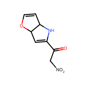 O=C(C[N+](=O)[O-])C1=CC2OC=CC2N1